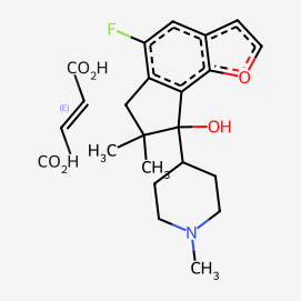 CN1CCC(C2(O)c3c(c(F)cc4ccoc34)CC2(C)C)CC1.O=C(O)/C=C/C(=O)O